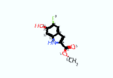 COC(=O)c1cc2cc(F)c(O)cc2[nH]1